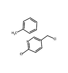 Cc1ccccc1.ClCc1ccc(Cl)nc1